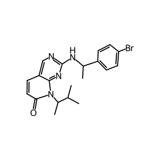 CC(Nc1ncc2ccc(=O)n(C(C)C(C)C)c2n1)c1ccc(Br)cc1